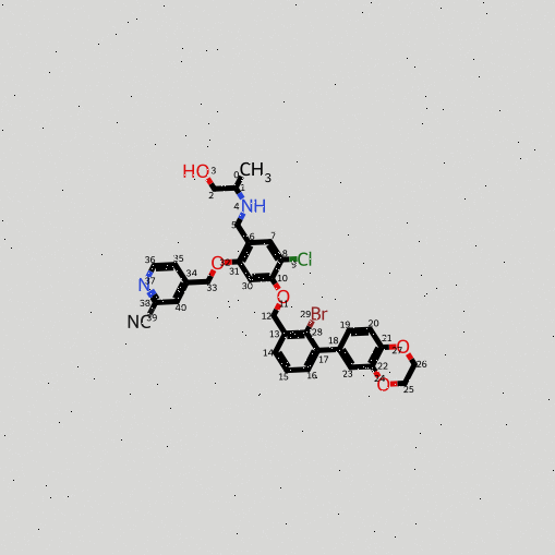 CC(CO)NCc1cc(Cl)c(OCc2cccc(-c3ccc4c(c3)OCCO4)c2Br)cc1OCc1ccnc(C#N)c1